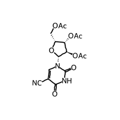 CC(=O)OC[C@H]1O[C@@H](n2cc(C#N)c(=O)[nH]c2=O)[C@H](OC(C)=O)[C@H]1OC(C)=O